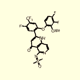 COc1c(Oc2cc(C(F)(F)F)c(F)cc2-c2cc(=O)c3c(N=S(C)(C)=O)nccc3[nH]2)ccc(F)c1F